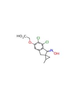 CC1CC12Cc1cc(OCC(=O)O)c(Cl)c(Cl)c1C2=NO